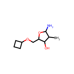 BC1C(N)OC(COC2CCC2)C1O